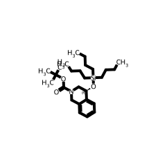 CCCC[Si](CCCC)(CCCC)O[C@H]1CN(C(=O)OC(C)(C)C)Cc2ccccc21